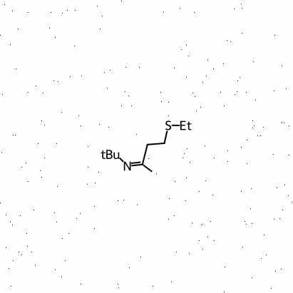 CCSCC/C(C)=N\C(C)(C)C